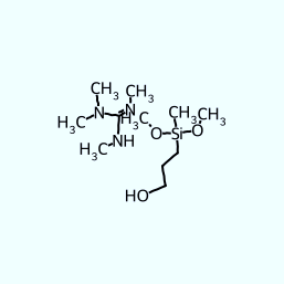 CN=C(NC)N(C)C.CO[Si](C)(CCCO)OC